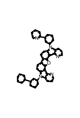 c1ccc(-c2cccc(-n3c4cccnc4c4c5oc6c(ccc7c6c6ncccc6n7-c6cccc(-c7ccccn7)c6)c5ccc43)c2)cc1